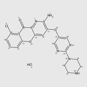 Cl.Nc1nc2c(=O)c3c(Cl)cccc3oc2cc1Oc1cnc(N2CCNCC2)nc1